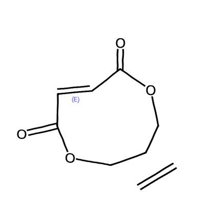 C=C.O=C1/C=C/C(=O)OCCCO1